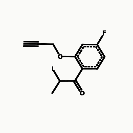 C#CCOc1cc(F)ccc1C(=O)C(C)I